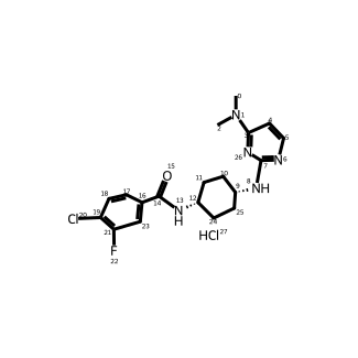 CN(C)c1ccnc(N[C@H]2CC[C@@H](NC(=O)c3ccc(Cl)c(F)c3)CC2)n1.Cl